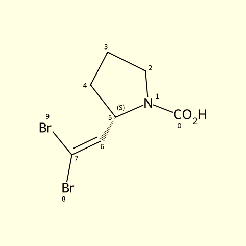 O=C(O)N1CCC[C@H]1C=C(Br)Br